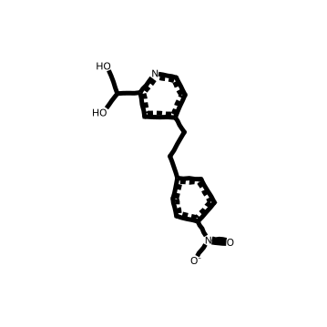 O=[N+]([O-])c1ccc(CCc2ccnc(C(O)O)c2)cc1